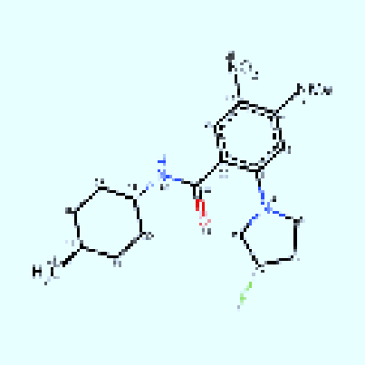 CNc1cc(N2CC[C@H](F)C2)c(C(=O)N[C@H]2CC[C@H](C)CC2)cc1[N+](=O)[O-]